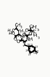 CC(C)C[C@@H](NC(=O)[C@H](Cc1ccc(F)cc1)NC(=O)OC(C)(C)C)C(=O)O